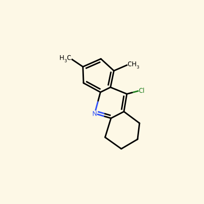 Cc1cc(C)c2c(Cl)c3c(nc2c1)CCCC3